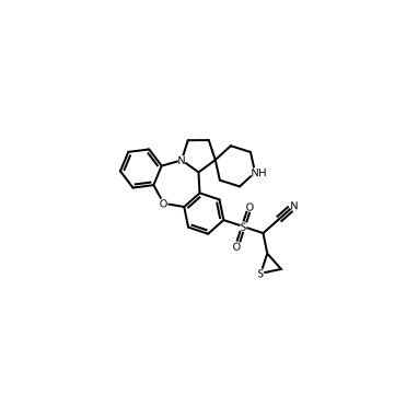 N#CC(C1CS1)S(=O)(=O)c1ccc2c(c1)C1N(CCC13CCNCC3)c1ccccc1O2